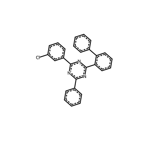 Clc1cccc(-c2nc(-c3ccccc3)nc(-c3ccccc3-c3ccccc3)n2)c1